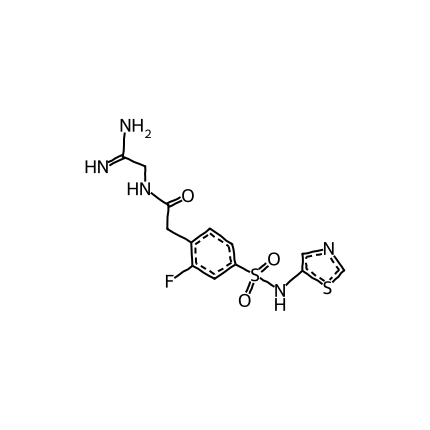 N=C(N)CNC(=O)Cc1ccc(S(=O)(=O)Nc2cncs2)cc1F